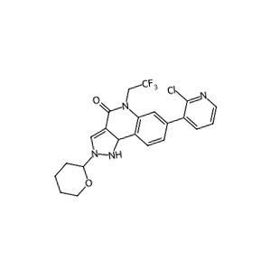 O=C1C2=CN(C3CCCCO3)NC2c2ccc(-c3cccnc3Cl)cc2N1CC(F)(F)F